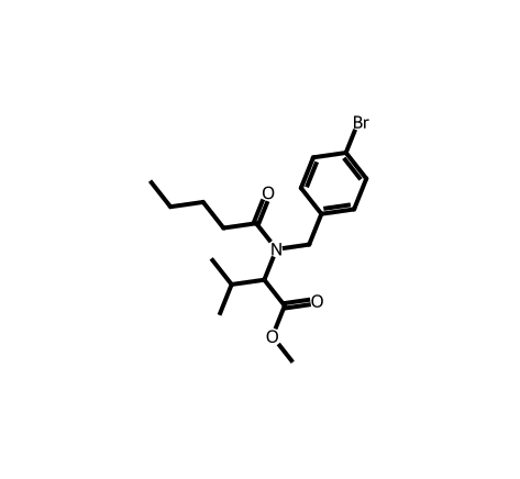 CCCCC(=O)N(Cc1ccc(Br)cc1)C(C(=O)OC)C(C)C